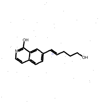 OCCC/C=C/c1ccc2ccnc(O)c2c1